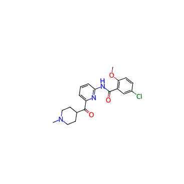 COc1ccc(Cl)cc1C(=O)Nc1cccc(C(=O)C2CCN(C)CC2)n1